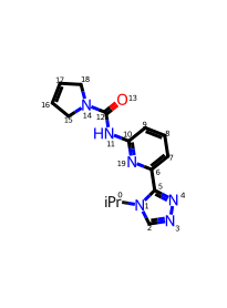 CC(C)n1cnnc1-c1cccc(NC(=O)N2CC=CC2)n1